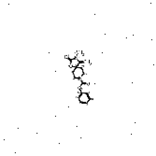 C=C1N(C)C(=O)OC12CCN(C(=O)Oc1ccccc1)CC2